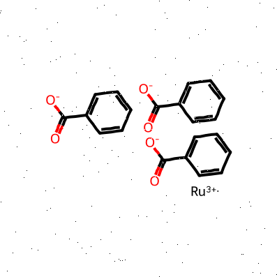 O=C([O-])c1ccccc1.O=C([O-])c1ccccc1.O=C([O-])c1ccccc1.[Ru+3]